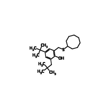 CC(C)(C)Cc1cc(C(C)(C)C)cc(CSC2CCCCCCC2)c1O